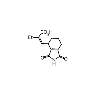 CCC(=CC1CCCC2=C1C(=O)NC2=O)C(=O)O